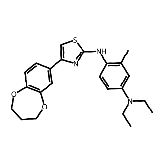 CCN(CC)c1ccc(Nc2nc(-c3ccc4c(c3)OCCCO4)cs2)c(C)c1